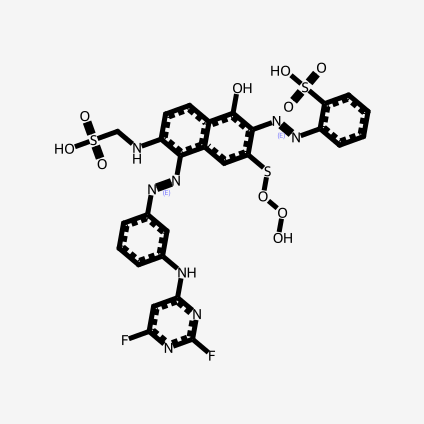 O=S(=O)(O)CNc1ccc2c(O)c(/N=N/c3ccccc3S(=O)(=O)O)c(SOOO)cc2c1/N=N/c1cccc(Nc2cc(F)nc(F)n2)c1